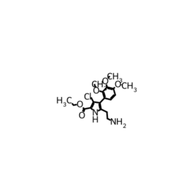 CCOC(=O)c1[nH]c(CCN)c(-c2ccc(OC)c(OC)c2OC)c1Cl